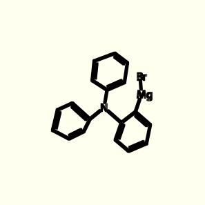 [Br][Mg][c]1ccccc1N(c1ccccc1)c1ccccc1